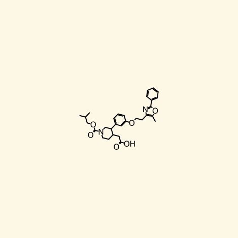 Cc1oc(-c2ccccc2)nc1CCOc1cccc(C2CN(C(=O)OCC(C)C)CCC2CC(=O)O)c1